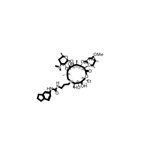 CC[C@H]1OC(=O)[C@H](C)[C@@H](O[C@@H](CCOC)O[C@@H](C)[C@@H](C)O)[C@H](C)[C@@H](O[C@@H]2O[C@H](C)C[C@H](N(C)C)[C@H]2O)[C@](C)(O)C[C@@H](C)CN(CCCNC(=O)Nc2ccc3c(c2)CCC3)[C@H](C)[C@@H](O)[C@]1(C)O